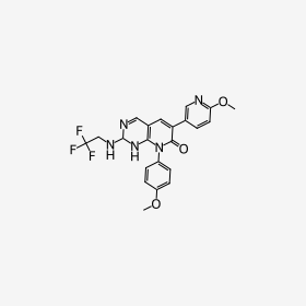 COc1ccc(-n2c3c(cc(-c4ccc(OC)nc4)c2=O)C=NC(NCC(F)(F)F)N3)cc1